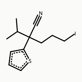 CC(C)C(C#N)(CCCI)c1cccs1